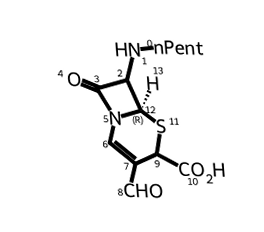 CCCCCNC1C(=O)N2C=C(C=O)C(C(=O)O)S[C@H]12